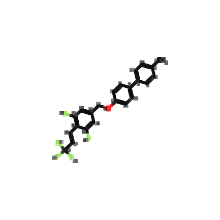 Cc1ccc(-c2ccc(OCc3cc(F)c(/C=C/C(F)(F)F)c(F)c3)cc2)cc1